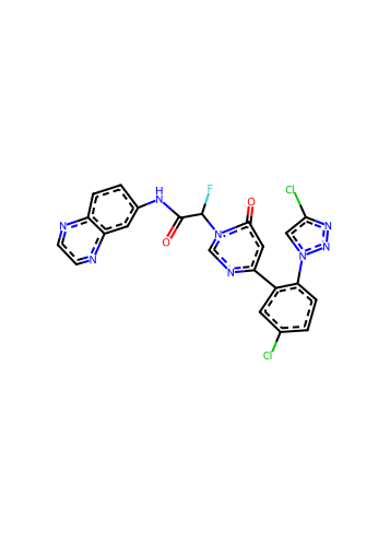 O=C(Nc1ccc2nccnc2c1)C(F)n1cnc(-c2cc(Cl)ccc2-n2cc(Cl)nn2)cc1=O